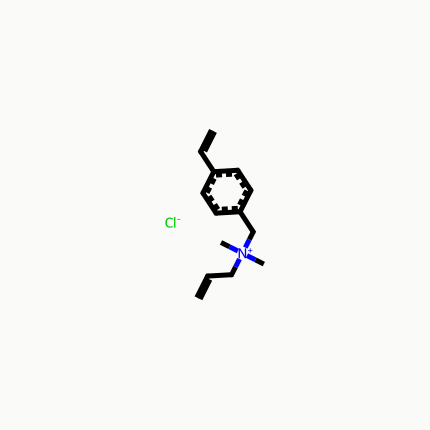 C=CC[N+](C)(C)Cc1ccc(C=C)cc1.[Cl-]